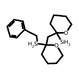 [SiH3]C1(CC2([SiH2]Cc3ccccc3)CCCCO2)CCCCO1